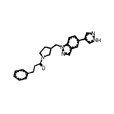 O=C(CCc1ccccc1)N1CCC(Cn2ncc3cc(-c4cn[nH]c4)ccc32)C1